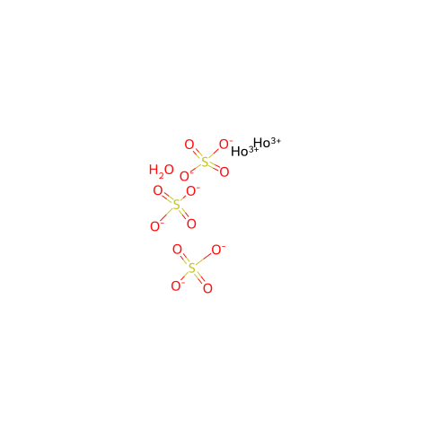 O.O=S(=O)([O-])[O-].O=S(=O)([O-])[O-].O=S(=O)([O-])[O-].[Ho+3].[Ho+3]